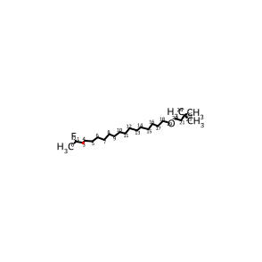 CC(F)CCCCCCCCCCCCCCCCOCCC(C)(C)C